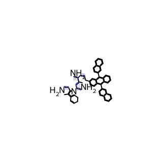 CC(=C\C(=C/N)n1c(/C=C\N)c(C)c2c1CCC=C2)/C(/C=C\Cc1ccc2c(-c3ccc4ccccc4c3)c3ccccc3c(-c3ccc4ccccc4c3)c2c1)=C/N